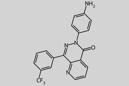 Nc1ccc(-n2nc(-c3cccc(C(F)(F)F)c3)c3ncccc3c2=O)cc1